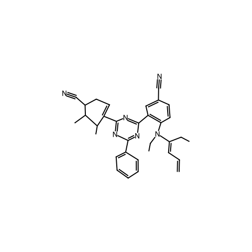 C=C/C=C(\CC)N(CC)c1ccc(C#N)cc1-c1nc(C2=CCC(C#N)C(C)C2C)nc(-c2ccccc2)n1